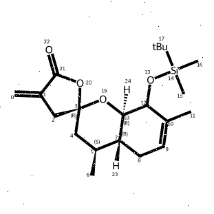 C=C1C[C@@]2(C[C@H](C)[C@H]3CC=C(C)C(O[Si](C)(C)C(C)(C)C)[C@@H]3O2)OC1=O